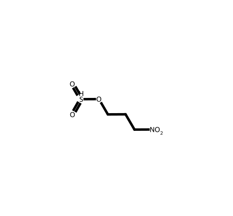 O=[N+]([O-])CCCO[SH](=O)=O